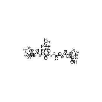 CC(F)(F)C(=O)OC(CCC(=O)OCC(=O)OC12CC3CC(CC(O)(C3)C1)C2)C(=O)OCC(=O)OC12CC3CC(C1)C(=O)C(C3)C2